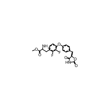 COC(=O)C(N)Cc1ccc(Oc2ccc(C=C3OC(=O)NC3=O)cc2)c(F)c1F